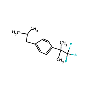 CC(C)Cc1ccc(C(C)(C)C(F)(F)F)cc1